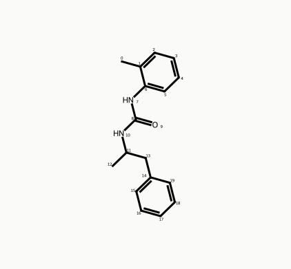 Cc1ccccc1NC(=O)NC(C)Cc1ccccc1